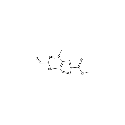 COC(=O)c1ccc(NC(N)C=O)c(OC)c1